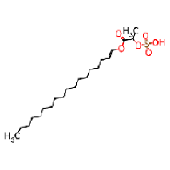 CCCCCCCCCCCCCCCCC=COC(=O)C(C)OS(=O)(=O)O